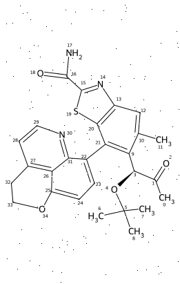 CC(=O)[C@@H](OC(C)(C)C)c1c(C)cc2nc(C(N)=O)sc2c1-c1ccc2c3c(ccnc13)CCO2